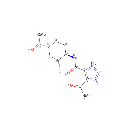 CNC(=O)c1nc[nH]c1C(=O)N[C@@H]1CC[C@@H](C(=O)OC)C[C@@H]1F